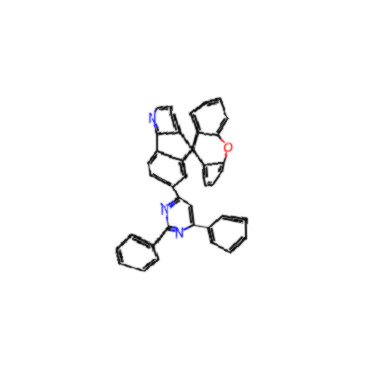 c1ccc(-c2cc(-c3ccc4c(c3)C3(c5ccccc5Oc5ccccc53)c3cccnc3-4)nc(-c3ccccc3)n2)cc1